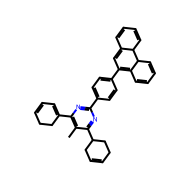 Cc1c(C2=CC=CCC2)nc(-c2ccc(C3=C4C=CC=CC4C4C=CC=CC4=C3)cc2)nc1C1CC=CCC1